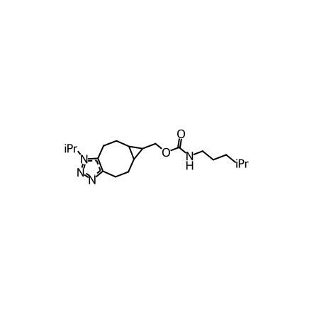 CC(C)CCCNC(=O)OCC1C2CCc3nnn(C(C)C)c3CCC21